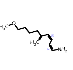 C=C(/C=C\C=C/N)CCCCOC